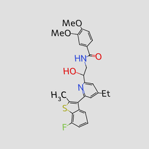 CCc1cc(-c2c(C)sc3c(F)cccc23)nc(C(O)CNC(=O)c2ccc(OC)c(OC)c2)c1